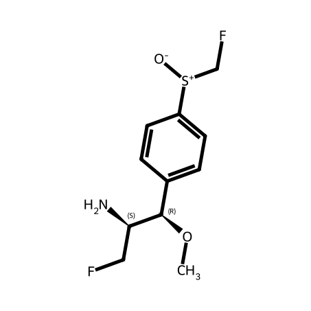 CO[C@H](c1ccc([S+]([O-])CF)cc1)[C@H](N)CF